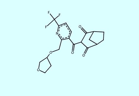 O=C(c1ccc(C(F)(F)F)nc1COC1CCOC1)C1C(=O)C2CCC(C2)C1=O